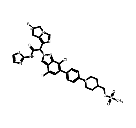 CS(=O)(=O)OCC1CCN(c2ccc(-c3cc(Cl)c4cn(C(C(=O)Nc5nccs5)c5ncn6c5C[C@@H](F)C6)nc4c3Cl)cc2)CC1